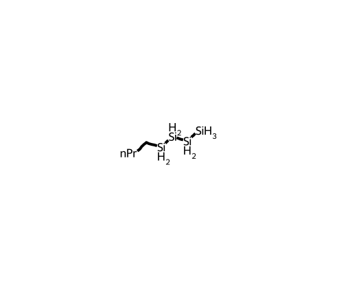 CCCC[SiH2][SiH2][SiH2][SiH3]